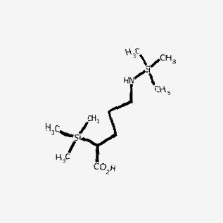 C[Si](C)(C)NCCCC(C(=O)O)[Si](C)(C)C